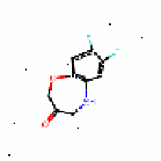 O=C1CNc2cc(F)c(F)cc2OC1